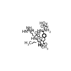 CCCC[C@@H](NC(=O)C(Cc1ccc(C(=N)N)cc1)C(=O)NC)C(=O)N[C@@H](CCCNC(=N)N)C(=O)O.O=C(O)C(F)(F)F